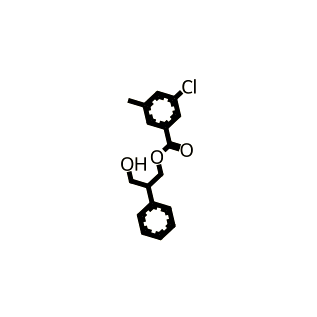 Cc1cc(Cl)cc(C(=O)OCC(CO)c2ccccc2)c1